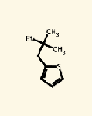 CCC(C)(C)Cc1cccs1